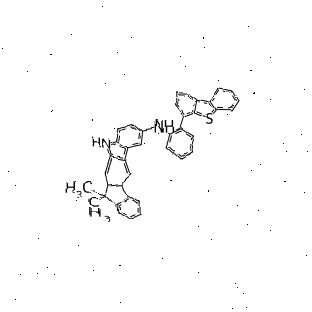 CC1(C)c2ccccc2C2C=c3c([nH]c4ccc(Nc5ccccc5-c5cccc6c5sc5ccccc56)cc34)=CC21